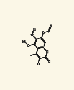 CCOc1c(OP=S)cc2oc(=O)c(Cl)c(C)c2c1OCC